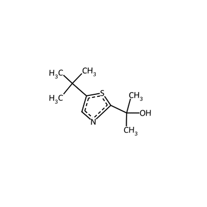 CC(C)(C)c1cnc(C(C)(C)O)s1